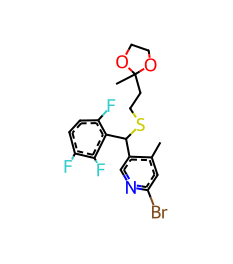 Cc1cc(Br)ncc1C(SCCC1(C)OCCO1)c1c(F)ccc(F)c1F